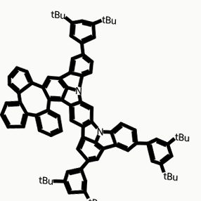 CC(C)(C)c1cc(-c2ccc3c(c2)c2cc(-c4cc(C(C)(C)C)cc(C(C)(C)C)c4)cc4c5cc6c7c8c(cc9c%10cc(-c%11cc(C(C)(C)C)cc(C(C)(C)C)c%11)ccc%10n(c6cc5n3c24)c97)-c2ccccc2-c2ccccc2-c2ccccc2-8)cc(C(C)(C)C)c1